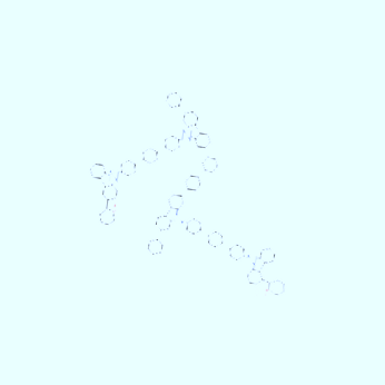 c1ccc(-c2ccc3c4ccc(-c5ccc(-c6cccc(-c7ccc8c9ccc(-c%10ccccc%10)cc9n(-c9ccc(-c%10ccc(-c%11ccc(-n%12c%13ccccc%13c%13cc%14c(cc%13%12)oc%12ccccc%12%14)cc%11)cc%10)cc9)c8c7)c6)cc5)cc4n(-c4ccc(-c5ccc(-c6ccc(-n7c8ccccc8c8c9c(ccc87)oc7ccccc79)cc6)cc5)cc4)c3c2)cc1